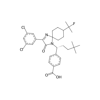 CC(C)(C)CC[C@H](c1ccc(C(=O)O)cc1)N1C(=O)C(c2cc(Cl)cc(Cl)c2)=NC12CCC(C(C)(C)F)CC2